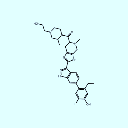 CCc1cc(O)c(F)cc1-c1ccc2c(-c3nc4c([nH]3)CN(C)C(C(=O)N3CCN(CCO)CC3C)C4)n[nH]c2c1